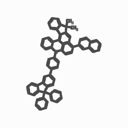 CC1(C)c2ccccc2-c2c(-c3ccccc3N(c3ccc(-c4ccc5c(c4)-c4ccccc4C5(c4ccccc4)c4ccccc4)cc3)c3ccc(-c4ccc5ccccc5c4)cc3)cccc21